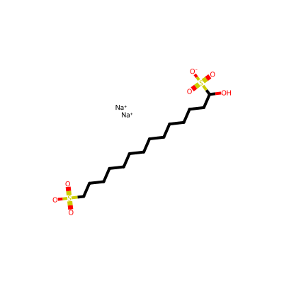 O=S(=O)([O-])CCCCCCCCCCCCCC(O)S(=O)(=O)[O-].[Na+].[Na+]